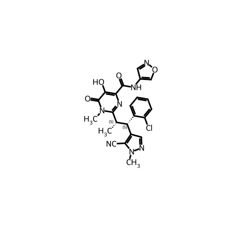 C[C@H](c1nc(C(=O)Nc2cnoc2)c(O)c(=O)n1C)[C@H](c1ccccc1Cl)c1cnn(C)c1C#N